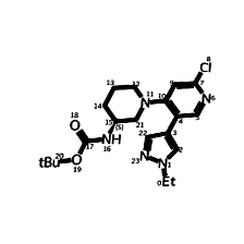 CCn1cc(-c2cnc(Cl)cc2N2CCC[C@H](NC(=O)OC(C)(C)C)C2)cn1